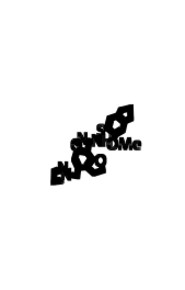 COc1cc2c(cc1SNc1noc3cc(Cn4cccn4)c4c(c13)OCC4)CCC2